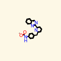 COC(=O)Nc1ccc(Cc2cccc(-c3ncc4ccccc4n3)n2)cc1